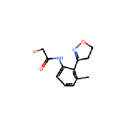 Cc1cccc(NC(=O)CBr)c1C1=NOCC1